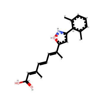 CC(/C=C/C=C(\C)c1cc(-c2c(C)cccc2C)no1)=C\C(=O)O